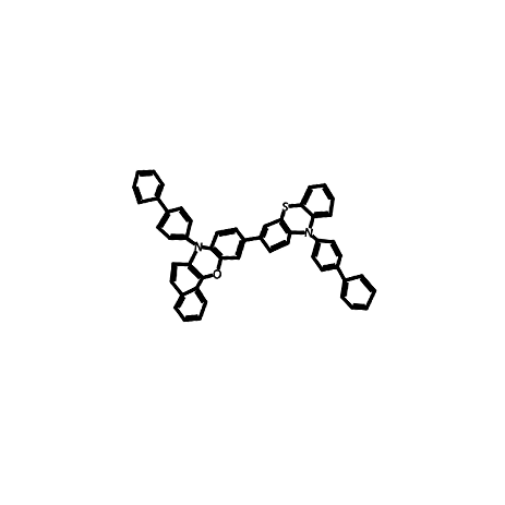 c1ccc(-c2ccc(N3c4ccccc4Sc4cc(-c5ccc6c(c5)Oc5c(ccc7ccccc57)N6c5ccc(-c6ccccc6)cc5)ccc43)cc2)cc1